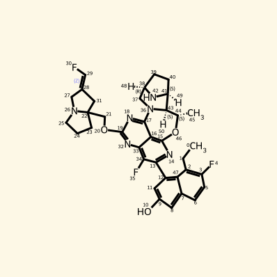 CCc1c(F)ccc2cc(O)cc(-c3nc4c5c(nc(OCC67CCCN6C/C(=C\F)C7)nc5c3F)N3C[C@H]5CC[C@H](N5)[C@H]3[C@H](C)O4)c12